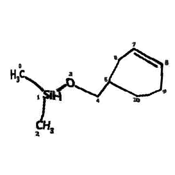 C[SiH](C)OCC1CC=CCC1